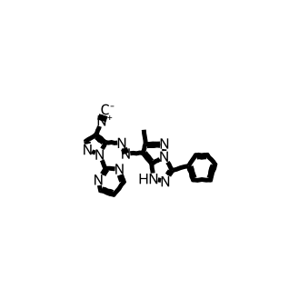 [C-]#[N+]c1cnn(-c2ncccn2)c1/N=N/c1c(C)nn2c(-c3ccccc3)n[nH]c12